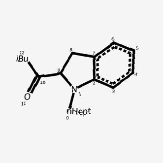 CCCCCCCN1c2ccccc2CC1C(=O)C(C)CC